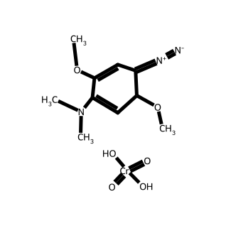 COC1=CC(=[N+]=[N-])C(OC)C=C1N(C)C.[O]=[Cr](=[O])([OH])[OH]